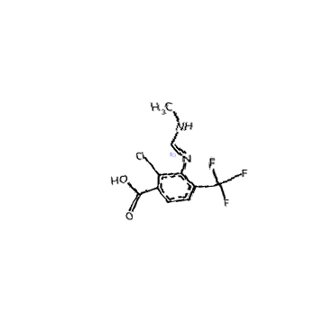 CN/C=N/c1c(C(F)(F)F)ccc(C(=O)O)c1Cl